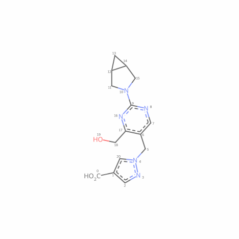 O=C(O)c1cnn(Cc2cnc(N3CC4CC4C3)nc2CO)c1